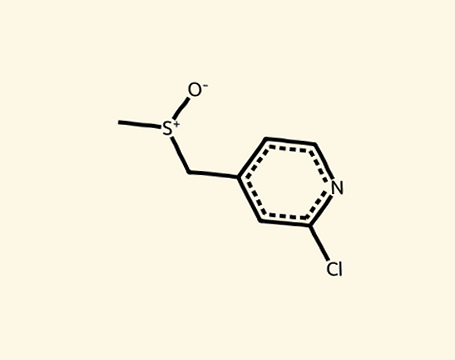 C[S+]([O-])Cc1ccnc(Cl)c1